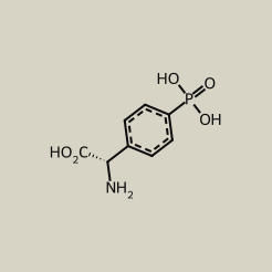 N[C@H](C(=O)O)c1ccc(P(=O)(O)O)cc1